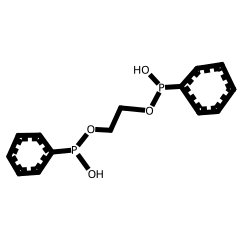 OP(OCCOP(O)c1ccccc1)c1ccccc1